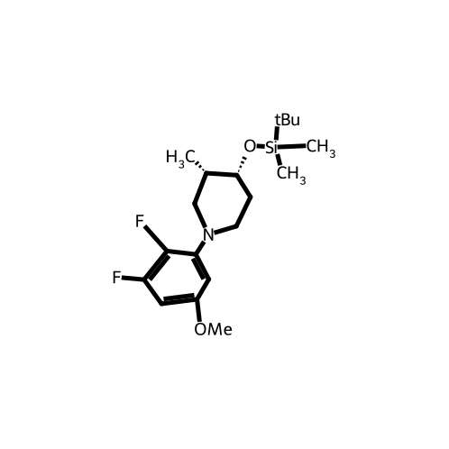 COc1cc(F)c(F)c(N2CC[C@@H](O[Si](C)(C)C(C)(C)C)[C@@H](C)C2)c1